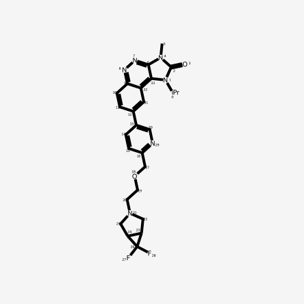 CC(C)n1c(=O)n(C)c2nnc3ccc(-c4ccc(COCCN5CC6C(C5)C6(F)F)nc4)cc3c21